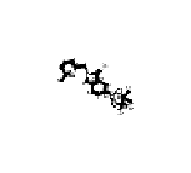 Cc1cccc(CN2Cc3ccc(B4OC(C)(C)C(C)(C)O4)cc3C2=O)n1